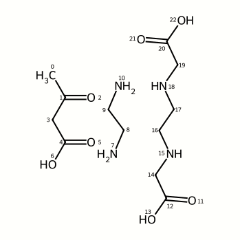 CC(=O)CC(=O)O.NCCN.O=C(O)CNCCNCC(=O)O